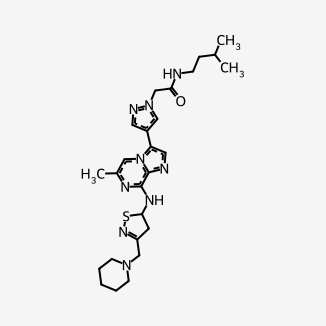 Cc1cn2c(-c3cnn(CC(=O)NCCC(C)C)c3)cnc2c(NC2CC(CN3CCCCC3)=NS2)n1